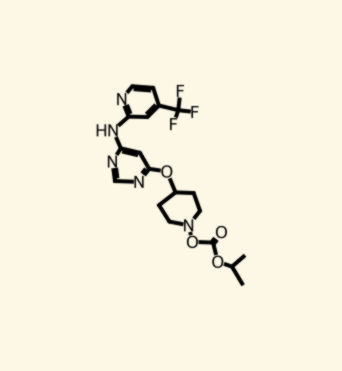 CC(C)OC(=O)ON1CCC(Oc2cc(Nc3cc(C(F)(F)F)ccn3)ncn2)CC1